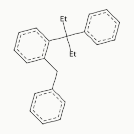 CCC(CC)(c1ccccc1)c1ccccc1Cc1ccccc1